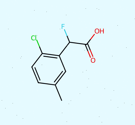 Cc1ccc(Cl)c(C(F)C(=O)O)c1